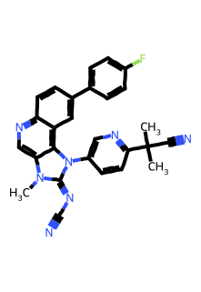 Cn1c(=NC#N)n(-c2ccc(C(C)(C)C#N)nc2)c2c3cc(-c4ccc(F)cc4)ccc3ncc21